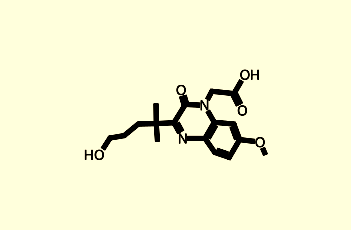 COc1ccc2nc(C(C)(C)CCCO)c(=O)n(CC(=O)O)c2c1